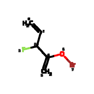 C=CC(F)C(=C)OBr